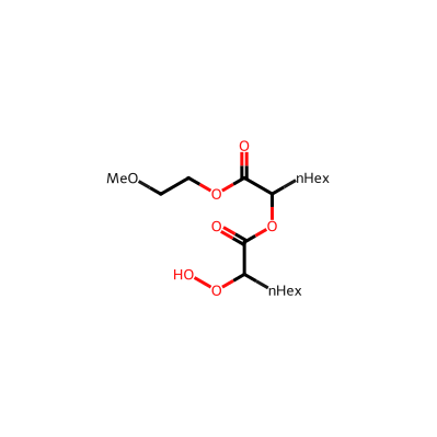 CCCCCCC(OO)C(=O)OC(CCCCCC)C(=O)OCCOC